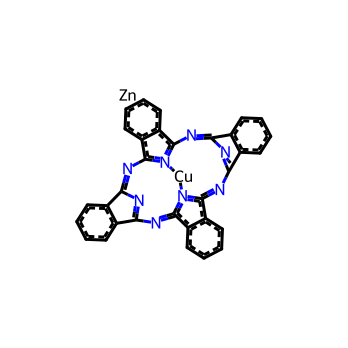 [Zn].c1ccc2c(c1)C1=NC/2=N\c2c3ccccc3c3[n]2[Cu][n]2/c(c4ccccc4/c2=N/C2=N\C(=N/3)c3ccccc32)=N\1